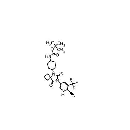 CC(C)(C)OC(=O)NC1CCC(N2C(=S)N(C3=CNC(C#N)C(C(F)(F)F)=C3)C(=O)C23CCC3)CC1